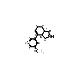 Cc1cncc(C2=CCCC3CNCC23)c1